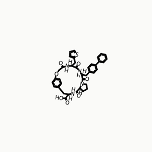 O=C1COc2ccc(cc2)C[C@@H](C(=O)O)NC(=O)[C@@H]2CCCN2C(=O)[C@H](Cc2ccc(-c3ccccc3)cc2)NC(=O)[C@H](Cc2cccs2)N1